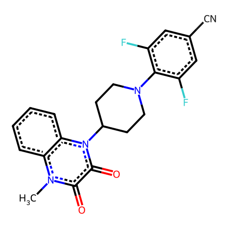 Cn1c(=O)c(=O)n(C2CCN(c3c(F)cc(C#N)cc3F)CC2)c2ccccc21